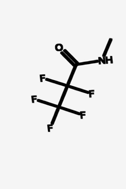 CNC(=O)C(F)(F)C(F)(F)F